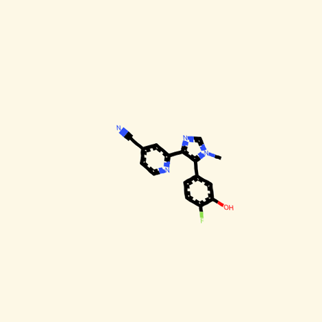 Cn1cnc(-c2cc(C#N)ccn2)c1-c1ccc(F)c(O)c1